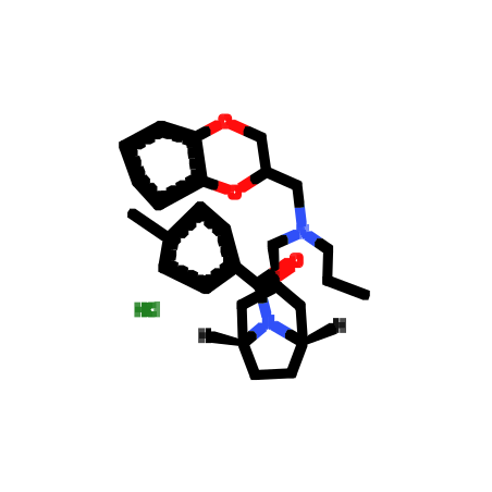 CCCN(CC1COc2ccccc2O1)C[C@@H]1C[C@H]2CC[C@@H](C1)N2C(=O)c1ccc(C)cc1.Cl